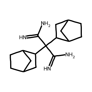 N=C(N)C(C(=N)N)(C1CC2CCC1C2)C1CC2CCC1C2